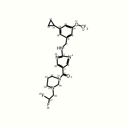 O=C(c1cnc(NCc2cc(OC(F)(F)F)cc(C3CC3)c2)nc1)N1CCCN(CC(F)F)C1